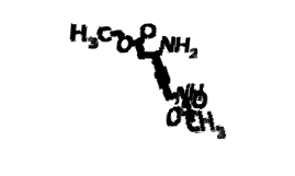 CCOC(=O)CC(N)C#CCNS(C)(=O)=O